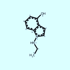 CCNn1ccc2c(O)cccc21